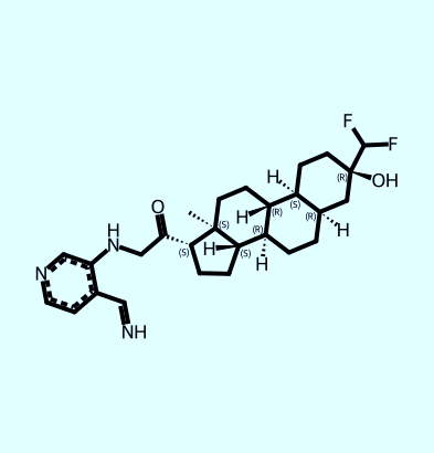 C[C@]12CC[C@H]3[C@@H](CC[C@@H]4C[C@@](O)(C(F)F)CC[C@@H]43)[C@@H]1CC[C@@H]2C(=O)CNc1cnccc1C=N